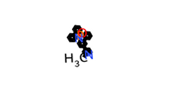 Cc1cc(-c2ccc3c(c2)-c2ccccc2P2(=O)c4ccccc4-c4ccccc4N32)ccn1